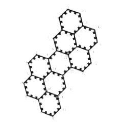 c1cc2ccc3ccc4c5cc6cccc7ccc8ccc(c9cc(c1)c2c3c49)c5c8c76